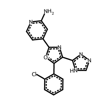 Nc1cc(-c2nc(-c3nnc[nH]3)c(-c3ccccc3Cl)o2)ccn1